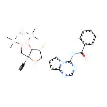 C#C[C@]1(CO[Si](C)(C)C(C)(C)C)O[C@@H](c2cc3ncnc(NC(=O)c4ccccc4)n3c2)[C@H](F)[C@@H]1O[Si](C)(C)C(C)(C)C